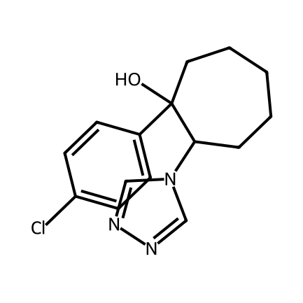 OC1(c2ccc(Cl)cc2)CCCCCC1n1cnnc1